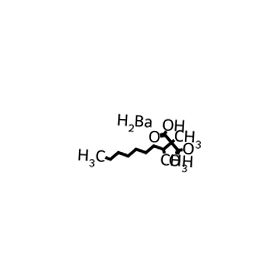 CCCCCCCC(C)C(C)(C(=O)O)C(=O)O.[BaH2]